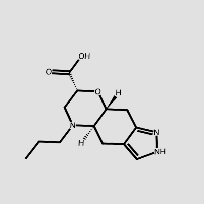 CCCN1C[C@H](C(=O)O)O[C@@H]2Cc3n[nH]cc3C[C@H]21